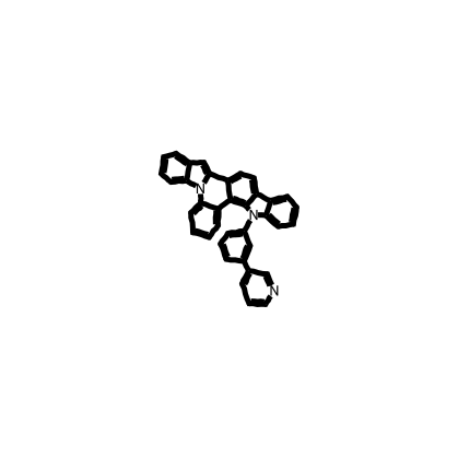 c1cncc(-c2cccc(-n3c4ccccc4c4ccc5c(c6ccccc6n6c7ccccc7cc56)c43)c2)c1